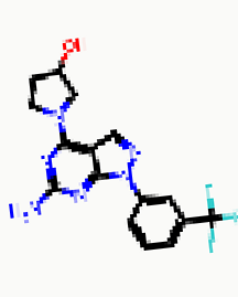 Nc1nc(N2CCC(O)C2)c2cnn(-c3cccc(C(F)(F)F)c3)c2n1